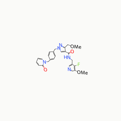 COCc1nn(Cc2ccc(Cn3ccccc3=O)cc2)cc1C(=O)NCc1cncc(OC)c1F